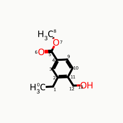 CCc1cc(C(=O)OC)ccc1CO